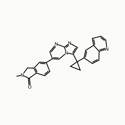 CN1Cc2cc(-c3cnc4ncc(C5(c6ccc7ncccc7c6)CC5)n4c3)ccc2C1=O